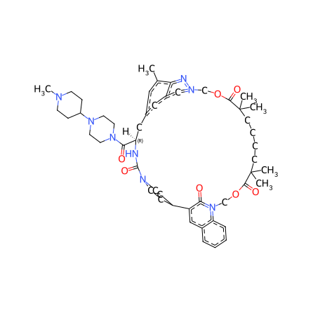 Cc1cc2cc3cn(nc13)COC(=O)C(C)(C)CCCCC(C)(C)C(=O)OCn1c(=O)c(cc3ccccc31)C1CCN(CC1)C(=O)N[C@@H](C(=O)N1CCN(C3CCN(C)CC3)CC1)C2